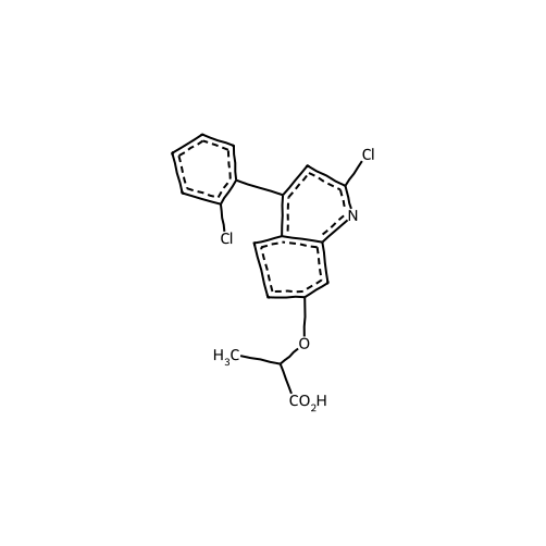 CC(Oc1ccc2c(-c3ccccc3Cl)cc(Cl)nc2c1)C(=O)O